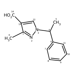 Cc1nn(C(C)c2ccccc2)cc1C(=O)O